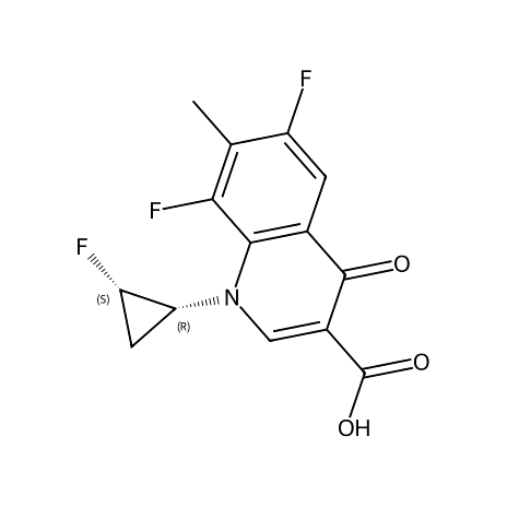 Cc1c(F)cc2c(=O)c(C(=O)O)cn([C@@H]3C[C@@H]3F)c2c1F